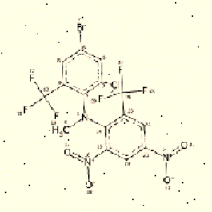 CN(c1c(Cl)cc(Br)cc1C(F)(F)F)c1c([N+](=O)[O-])cc([N+](=O)[O-])cc1C(F)(F)F